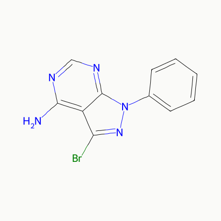 Nc1ncnc2c1c(Br)nn2-c1ccccc1